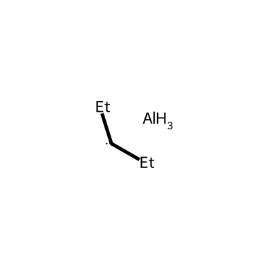 CC[CH]CC.[AlH3]